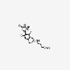 COCCCN[C@@H]1CCc2cc(O)c(N3CC(=O)NS3(=O)=O)c(F)c2C1